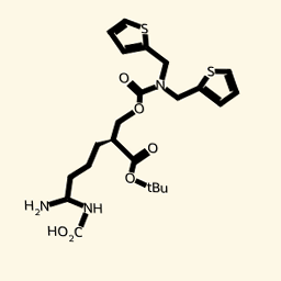 CC(C)(C)OC(=O)[C@@H](CCCC(N)NC(=O)O)COC(=O)N(Cc1cccs1)Cc1cccs1